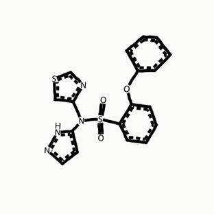 O=S(=O)(c1ccccc1Oc1ccccc1)N(c1cscn1)c1ccn[nH]1